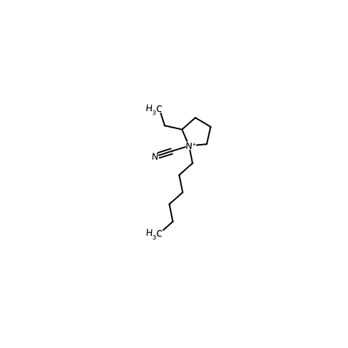 CCCCCC[N+]1(C#N)CCCC1CC